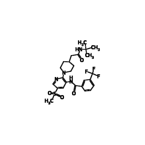 CC(C)(C)NC(=O)CC1CCN(c2ncc(S(C)(=O)=O)cc2NC(=O)c2cccc(C(F)(F)F)c2)CC1